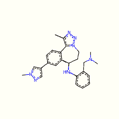 Cc1nnn2c1-c1ccc(-c3cnn(C)c3)cc1C(Nc1ccccc1CN(C)C)CC2